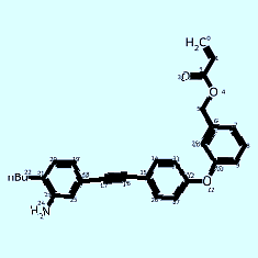 C=CC(=O)OCc1cccc(Oc2ccc(C#Cc3ccc(CCCC)c(N)c3)cc2)c1